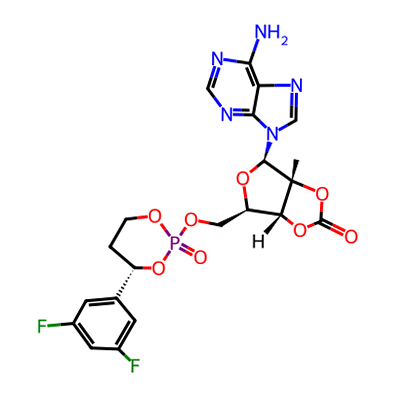 C[C@@]12OC(=O)O[C@@H]1[C@@H](COP1(=O)OCC[C@@H](c3cc(F)cc(F)c3)O1)O[C@H]2n1cnc2c(N)ncnc21